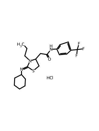 CCCN1C(=NC2CCCCC2)SCC1CC(=O)Nc1ccc(C(F)(F)F)cc1.Cl